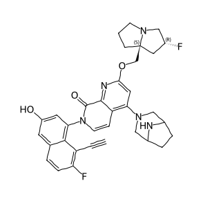 C#Cc1c(F)ccc2cc(O)cc(-n3ccc4c(N5CC6CCC(C5)N6)cc(OC[C@@]56CCCN5C[C@H](F)C6)nc4c3=O)c12